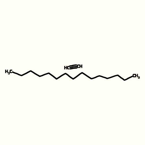 C#C.CCCCCCCCCCCCCCC